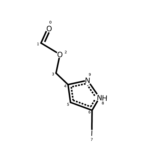 O=COCc1cc(I)[nH]n1